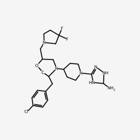 NC1NN=C(N2CCC(N3CC(CN4CCC(F)(F)C4)OCC3Cc3ccc(Cl)cc3)CC2)N1